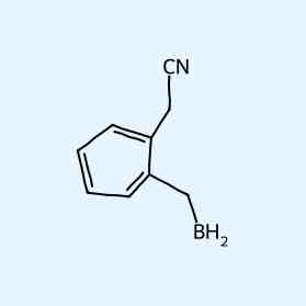 BCc1ccccc1CC#N